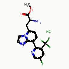 COC(=O)[C@@H](N)Cc1ccc(-c2ncc(F)cc2C(F)(F)F)c2nccn12.Cl